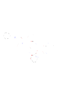 CC[C@H](C)[C@H](CC(=O)[C@@H](C)CC(=O)N[C@@H](Cc1ccccc1)C(N)=O)C(=O)N(C)[C@@H](Cc1cccc(Cl)c1)C(=O)N(C)[C@@H](CC(C)C)C(=O)N[C@@H](CC(C)C)C(=O)N[C@H](C(=O)N1CCCCC1)[C@@H](C)CC